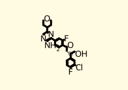 Nc1ncc(C2CCOCC2)nc1-c1ccc(C(=O)C[C@H](CO)c2ccc(F)c(Cl)c2)c(F)c1